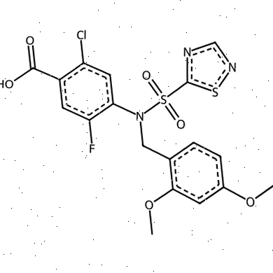 COc1ccc(CN(c2cc(Cl)c(C(=O)O)cc2F)S(=O)(=O)c2ncns2)c(OC)c1